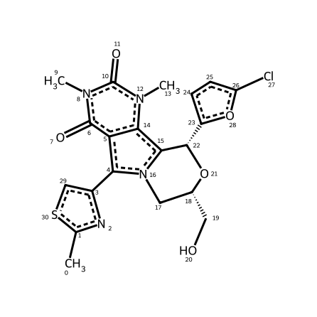 Cc1nc(-c2c3c(=O)n(C)c(=O)n(C)c3c3n2C[C@@H](CO)O[C@H]3c2ccc(Cl)o2)cs1